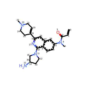 C=CC(=O)N(C)c1ccc2c(N3CC[C@@H](N)C3)nc(C3=CCN(C)CC3)cc2c1